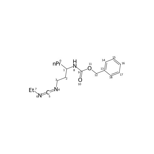 CCCC(CCN=C=NCC)NC(=O)OCc1ccccc1